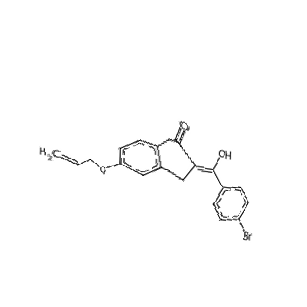 C=CCOc1ccc2c(c1)CC(=C(O)c1ccc(Br)cc1)C2=O